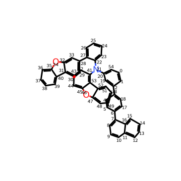 c1cc(-c2ccc(-c3cccc4ccccc34)cc2)cc(N(c2ccccc2-c2ccc3c(c2)oc2ccccc23)c2cccc3oc4ccccc4c23)c1